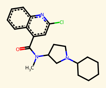 CN(C(=O)c1cc(Cl)nc2ccccc12)C1CCN(C2CCCCC2)C1